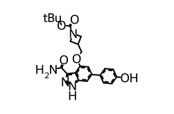 CC(C)(C)OC(=O)N1CC(COc2cc(-c3ccc(O)cc3)cc3[nH]nc(C(N)=O)c23)C1